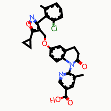 Cc1cc(C(=O)O)cnc1N1C(=O)CCc2cc(OCc3c(-c4c(C)cccc4Cl)noc3C3CC3)ccc21